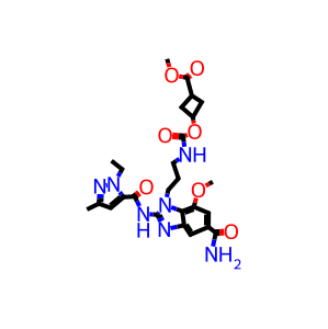 CCn1nc(C)cc1C(=O)Nc1nc2cc(C(N)=O)cc(OC)c2n1CCCNC(=O)OC1CC(C(=O)OC)C1